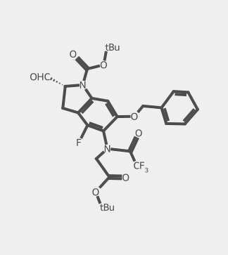 CC(C)(C)OC(=O)CN(C(=O)C(F)(F)F)c1c(OCc2ccccc2)cc2c(c1F)C[C@H](C=O)N2C(=O)OC(C)(C)C